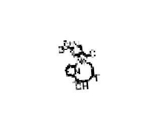 C[S+]([O-])c1ncc2c(=O)n3n(c2n1)-c1cccc(n1)[C@](C)(O)CCC(F)=CC3